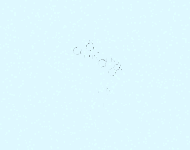 CC(C)C(=O)N1CCC(c2cc(-c3ccc(NC(=O)c4cncc(-c5ccc(F)cc5)c4O)cc3)c3c(N)n[nH]c3c2)CC1